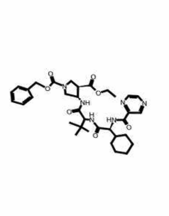 CCOC(=O)[C@@H]1CN(C(=O)OCc2ccccc2)C[C@@H]1NC(=O)C(NC(=O)[C@@H](NC(=O)c1cnccn1)C1CCCCC1)C(C)(C)C